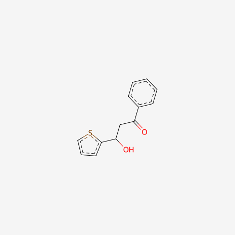 O=C(CC(O)c1cccs1)c1ccccc1